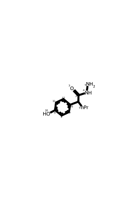 CCCC(C(=O)NN)c1ccc(O)cc1